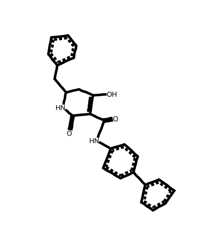 O=C(Nc1ccc(-c2ccccc2)cc1)C1=C(O)CC(Cc2ccccc2)NC1=O